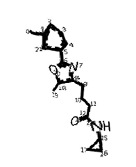 Cc1cccc(-c2nc(CCCC(=O)NC3CC3)c(C)o2)c1